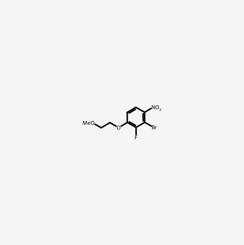 COCCOc1ccc([N+](=O)[O-])c(Br)c1F